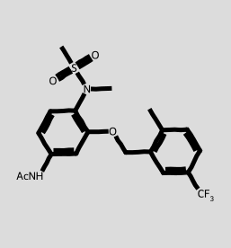 CC(=O)Nc1ccc(N(C)S(C)(=O)=O)c(OCc2cc(C(F)(F)F)ccc2C)c1